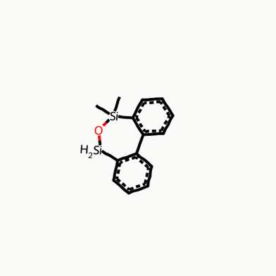 C[Si]1(C)O[SiH2]c2ccccc2-c2ccccc21